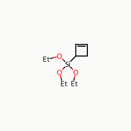 CCO[Si](OCC)(OCC)C1C=CC1